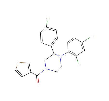 O=C(c1ccsc1)N1CCN(c2ccc(Cl)cc2Cl)C(c2ccc(Cl)cc2)C1